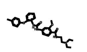 CCN(CC)CCNC(=O)c1ccc(NC(=O)Nc2ccccc2Oc2ccc(C)cc2)cc1OC